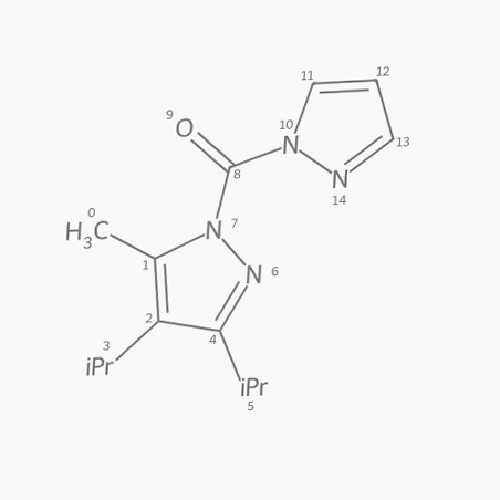 Cc1c(C(C)C)c(C(C)C)nn1C(=O)n1cccn1